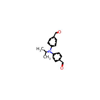 CC(C)N(c1ccc(C=O)cc1)c1ccc(C=O)cc1